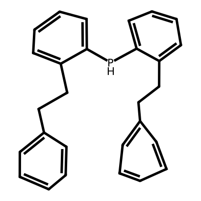 c1ccc(CCc2ccccc2Pc2ccccc2CCc2ccccc2)cc1